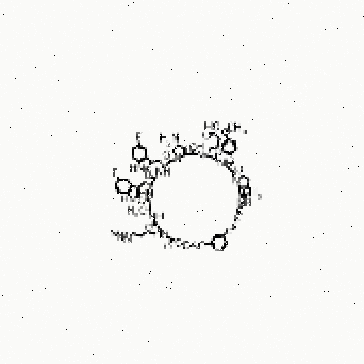 COc1ccc(C[C@@H]2NC(=O)[C@H](CCCC(=O)O)NC(=O)[C@H]3C[C@@H](N)CN3C(=O)[C@H](Cc3c[nH]c4ccc(F)cc34)NC(=O)[C@H](Cc3c[nH]c4ccc(F)cc34)NC(=O)[C@@H](C)NC(=O)[C@H](CCCCN=[N+]=[N-])NC(=O)CCSCc3cccc(c3)CSCCNC(=O)[C@]3(C)CCCN3C2=O)cc1